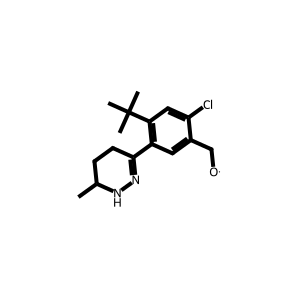 CC1CCC(c2cc(C[O])c(Cl)cc2C(C)(C)C)=NN1